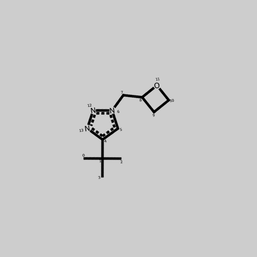 CC(C)(C)c1cn(CC2CCO2)nn1